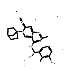 Cc1nc(N[C@H](C#N)c2cccc(C(F)(F)F)c2C)c2c(n1)=CC(=C=O)N(C13CCC(CC1)C3)C=2